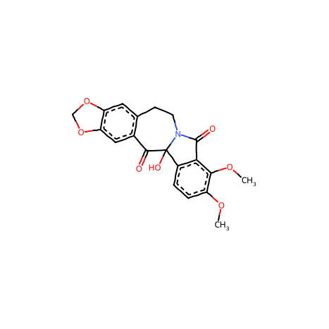 COc1ccc2c(c1OC)C(=O)N1CCc3cc4c(cc3C(=O)C21O)OCO4